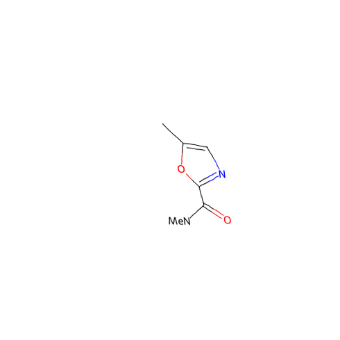 CNC(=O)c1ncc(C)o1